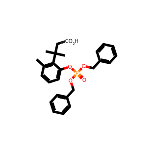 Cc1cccc(OP(=O)(OCc2ccccc2)OCc2ccccc2)c1C(C)(C)CC(=O)O